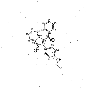 CCOc1ccc(-c2c(C(=O)c3ccccc3)c3ccccc3[s+]2[O-])cc1